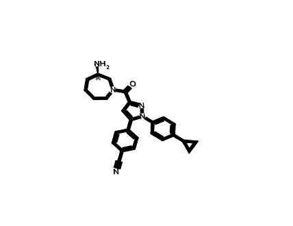 N#Cc1ccc(-c2cc(C(=O)N3CCCC[C@@H](N)C3)nn2-c2ccc(C3CC3)cc2)cc1